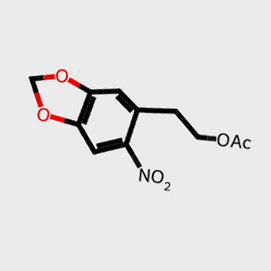 CC(=O)OCCc1cc2c(cc1[N+](=O)[O-])OCO2